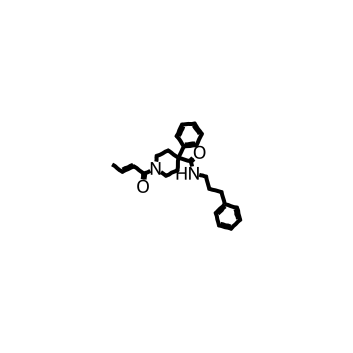 CC=CC(=O)N1CCC(C(=O)NCCCc2ccccc2)(c2ccccc2)CC1